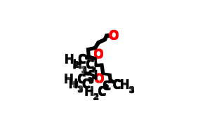 C=C=C(C)C[C@H](CC[C@@H]1OC(CCC=O)CC1=C)O[Si](CC)(CC)CC